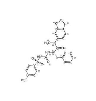 Cc1ccc(S(=O)(=O)NC(=O)N[C@@H](Cc2ccccc2)C(=O)N(C)c2ccc3c(c2)OCO3)cc1